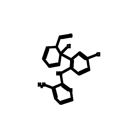 Nc1cccnc1Nc1ccc(Cl)cc1C1(Cl)C=CC=CC1C=O